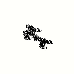 CC(C)(C)OC(=O)C[C@@H](C(=O)OC(C)(C)C)N(Cc1cccc(C(=O)OC(C)(C)C)c1)C(=O)OCc1ccc(OC(=O)c2ccc(NC(=NC(=O)OC(C)(C)C)NC(=O)OC(C)(C)C)cc2)cc1